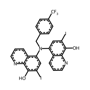 Oc1c(I)cc(N(Cc2ccc(C(F)(F)F)cc2)c2cc(I)c(O)c3ncccc23)c2cccnc12